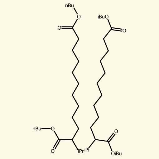 CC(C)COC(=O)CCCCCCCCCC(C(=O)OCC(C)C)C(C)C.CCCCOC(=O)CCCCCCCCCC(C(=O)OCCCC)C(C)C